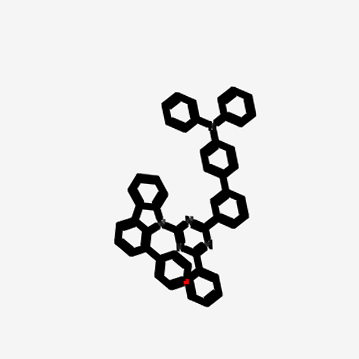 c1ccc(-c2nc(-c3cccc(-c4ccc(N(c5ccccc5)c5ccccc5)cc4)c3)nc(-n3c4ccccc4c4cccc(-c5ccccc5)c43)n2)cc1